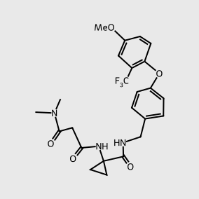 COc1ccc(Oc2ccc(CNC(=O)C3(NC(=O)CC(=O)N(C)C)CC3)cc2)c(C(F)(F)F)c1